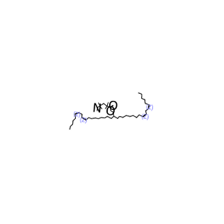 CCCCC/C=C\C/C=C\CCCCCCCCC(CCCCCCCC/C=C\C/C=C\CCCCC)COC(=O)C(C)(C)CC(C)(C)N(C)C